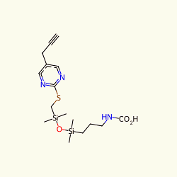 C#CCc1cnc(SC[Si](C)(C)O[Si](C)(C)CCCNC(=O)O)nc1